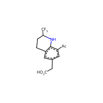 CC(=O)c1cc(CC(=O)O)cc2c1NC(C(F)(F)F)CC2